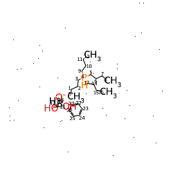 CCCC[PH](CCCC)(CCCC)CCCC.[H+].[O-]B(O)O.c1ccccc1